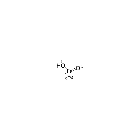 [Fe].[O]=[Fe][OH]